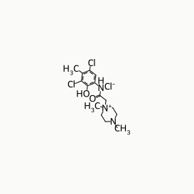 Cc1c(Cl)cc(NC(=O)C[N+]2(C)CCN(C)CC2)c(O)c1Cl.[Cl-]